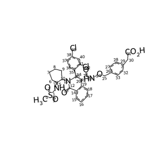 CS(=O)(=O)N[C@H]1CCCCC1N1C(=O)c2ccccc2[C@@H](C(=O)NOCc2ccc(CC(=O)O)cc2)[C@@H]1c1ccc(Cl)cc1Cl